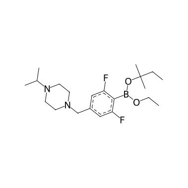 CCOB(OC(C)(C)CC)c1c(F)cc(CN2CCN(C(C)C)CC2)cc1F